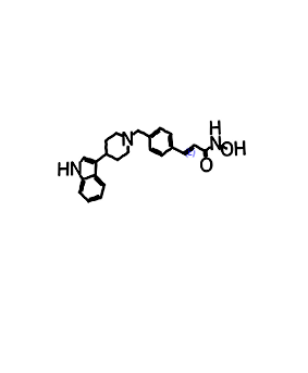 O=C(/C=C/c1ccc(CN2CCC(c3c[nH]c4ccccc34)CC2)cc1)NO